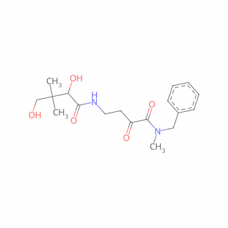 CN(Cc1ccccc1)C(=O)C(=O)CCNC(=O)C(O)C(C)(C)CO